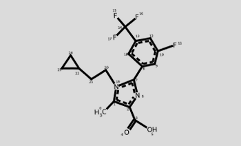 Cc1c(C(=O)O)nc(-c2cc(F)cc(C(F)(F)F)c2)n1CCC1CC1